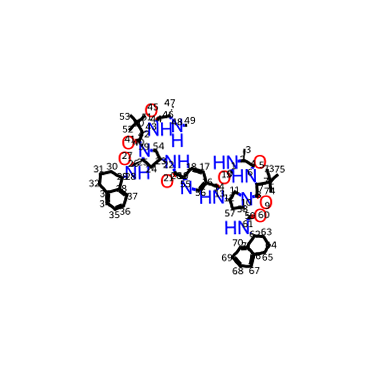 CN[C@@H](C)C(=O)N[C@H](C(=O)N1C[C@@H](NC(=O)c2ccc(C(=O)N[C@H]3C[C@@H](C(=O)N[C@@H]4CCCc5ccccc54)N(C(=O)[C@@H](NC(=O)[C@H](C)NC)C(C)(C)C)C3)nc2)C[C@H]1C(=O)N[C@@H]1CCCc2ccccc21)C(C)(C)C